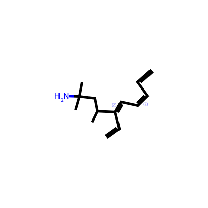 C=C/C=C\C=C(/C=C)C(C)CC(C)(C)N